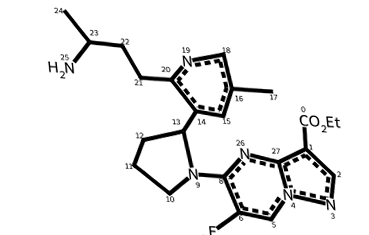 CCOC(=O)c1cnn2cc(F)c(N3CCCC3c3cc(C)cnc3CCC(C)N)nc12